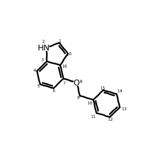 [c]1c[nH]c2cccc(OCc3ccccc3)c12